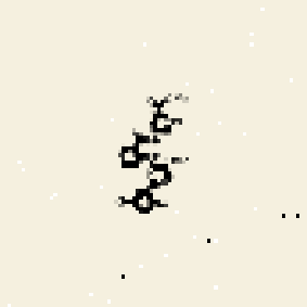 COC(=O)[C@H]1C[C@@H](NC(=O)c2cnccc2Nc2nc(-c3cc(Cl)ccc3F)ncc2OC)CN1